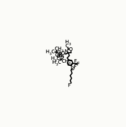 CC1=NC(CCc2ccc(OCCCCCCF)c(C(F)(F)F)c2)(COP(=O)(OC(C)(C)C)OC(C)(C)C)CO1